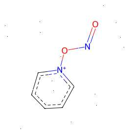 O=NO[n+]1ccccc1